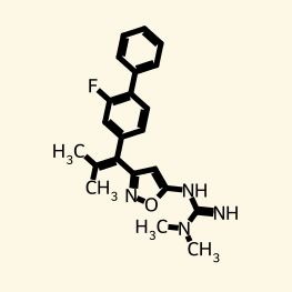 CC(C)=C(c1ccc(-c2ccccc2)c(F)c1)c1cc(NC(=N)N(C)C)on1